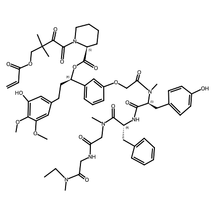 C=CC(=O)OCC(C)(C)C(=O)C(=O)N1CCCC[C@H]1C(=O)O[C@H](CCc1cc(O)c(OC)c(OC)c1)c1cccc(OCC(=O)N(C)[C@@H](Cc2ccc(O)cc2)C(=O)N[C@H](Cc2ccccc2)C(=O)N(C)CC(=O)NCC(=O)N(C)CC)c1